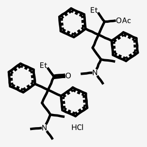 CCC(=O)C(CC(C)N(C)C)(c1ccccc1)c1ccccc1.CCC(OC(C)=O)C(CC(C)N(C)C)(c1ccccc1)c1ccccc1.Cl